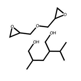 C(OCC1CO1)C1CO1.CC(CO)CC(CO)C(C)C